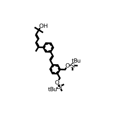 C/C(=C/C=C/C(C)(C)O)c1cccc(C=Cc2ccc(CO[Si](C)(C)C(C)(C)C)c(CO[Si](C)(C)C(C)(C)C)c2)c1